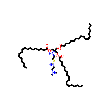 CCCCC/C=C\C/C=C\CCCCCCCC(=O)OCC(COC(=O)CCCCCCC/C=C\C/C=C\CCCCC)(COC(=O)CCCCCCC/C=C\C/C=C\CCCCC)NCCSNCCN(C)C